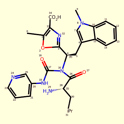 Cc1oc([C@@H](Cc2cn(C)c3ccccc23)N(C(=O)Nc2cccnc2)C(=O)[C@@H](N)CC(C)C)nc1C(=O)O